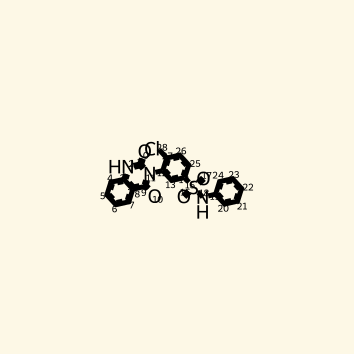 O=c1[nH]c2ccccc2c(=O)n1-c1cc(S(=O)(=O)Nc2ccccc2)ccc1Cl